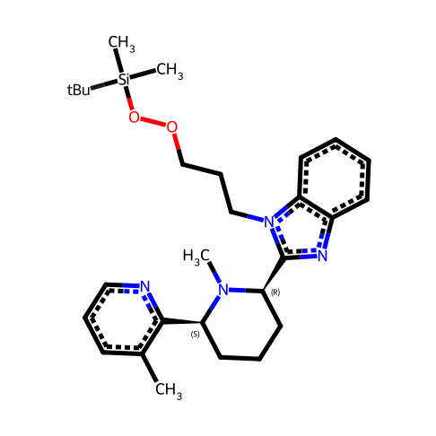 Cc1cccnc1[C@@H]1CCC[C@H](c2nc3ccccc3n2CCCOO[Si](C)(C)C(C)(C)C)N1C